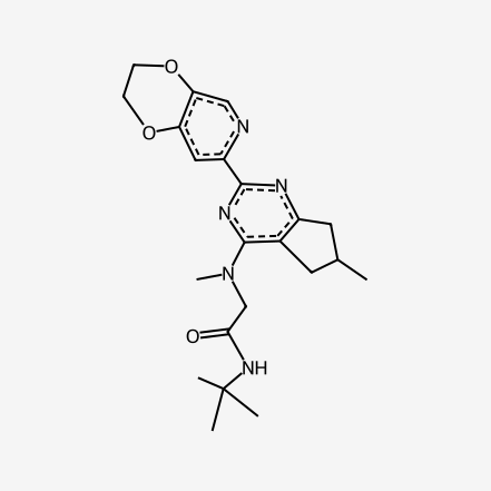 CC1Cc2nc(-c3cc4c(cn3)OCCO4)nc(N(C)CC(=O)NC(C)(C)C)c2C1